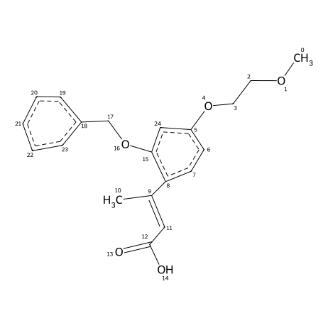 COCCOc1ccc(C(C)=CC(=O)O)c(OCc2ccccc2)c1